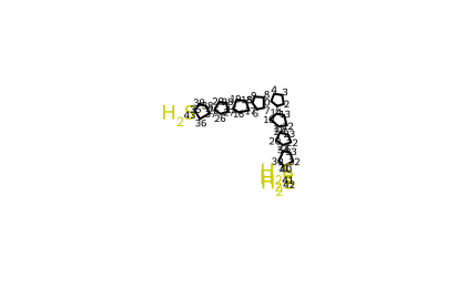 C1CCCC1.C1CCCC1.C1CCCC1.C1CCCC1.C1CCCC1.C1CCCC1.C1CCCC1.C1CCCC1.S.S.S.S